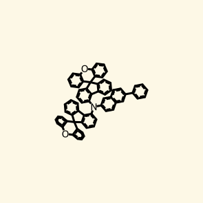 c1ccc(-c2ccc3cc(N(c4cccc5c4-c4ccccc4C54c5ccccc5Oc5ccccc54)c4cccc5c4-c4ccccc4C54c5ccccc5Oc5ccccc54)ccc3c2)cc1